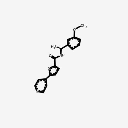 COc1cccc([C@H](C)NC(=O)c2ccc(-c3ccncc3)s2)c1